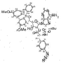 COc1ccc(C(OCC2OC(n3cnc4c(N)ncnc43)C(OC(=O)[C@@H](Cc3ccc(N=[N+]=[N-])cc3)NC(=O)OC(C)(C)C)C2O)(c2ccccc2)c2ccc(OC)cc2)cc1